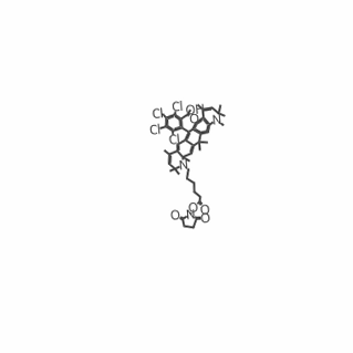 CC1=CC(C)(C)N(CCCCCC(=O)ON2C(=O)CCC2=O)C2(C)C=C3C(=C(c4c(Cl)c(Cl)c(Cl)c(Cl)c4C(=O)O)c4cc5c(cc4C3(C)C)N(C)C(C)(C)C=C5C)C=C12